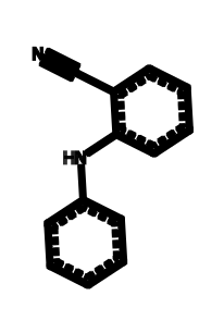 N#Cc1ccccc1Nc1ccccc1